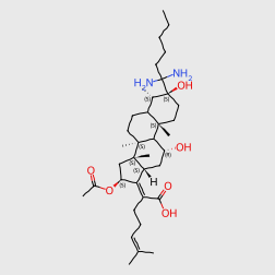 CCCCCC(N)(N)[C@]1(O)CC[C@@]2(C)C(CC[C@@]3(C)C2[C@H](O)C[C@@H]2C(=C(CCC=C(C)C)C(=O)O)[C@@H](OC(C)=O)C[C@@]23C)[C@@H]1C